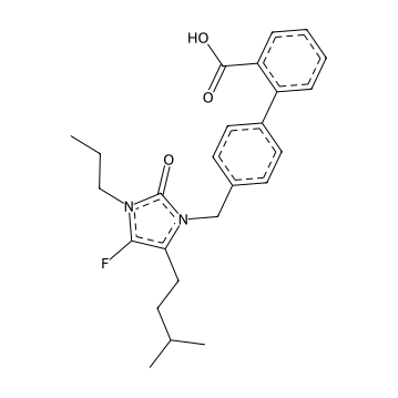 CCCn1c(F)c(CCC(C)C)n(Cc2ccc(-c3ccccc3C(=O)O)cc2)c1=O